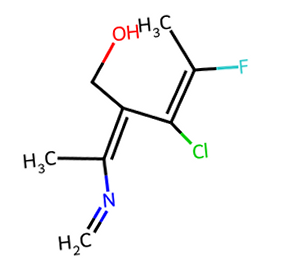 C=N/C(C)=C(CO)\C(Cl)=C(/C)F